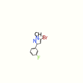 Cn1nc(-c2cccc(F)c2)cc1Br